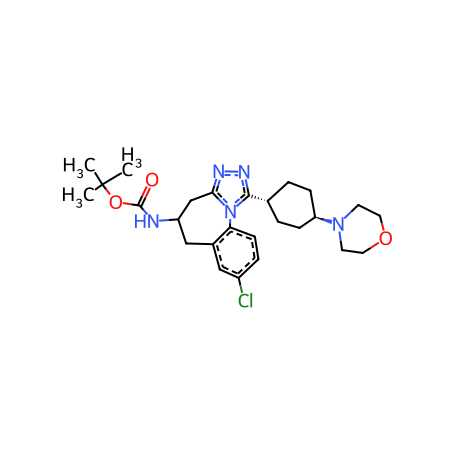 CC(C)(C)OC(=O)NC1Cc2cc(Cl)ccc2-n2c(nnc2[C@H]2CC[C@H](N3CCOCC3)CC2)C1